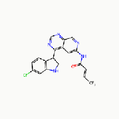 O=C(C=CC(F)(F)F)Nc1cc2c(C3CNc4cc(Cl)ccc43)ncnc2cn1